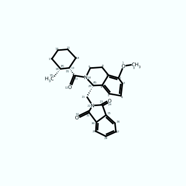 COc1cccc2c1CCN(C(=O)[C@H]1CCCC[C@H]1C)[C@H]2CN1C(=O)c2ccccc2C1=O